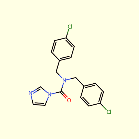 O=C(N(Cc1ccc(Cl)cc1)Cc1ccc(Cl)cc1)n1ccnc1